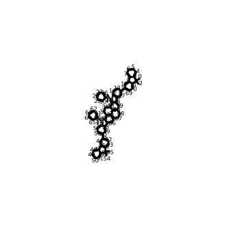 CC1(C)c2ccccc2-c2cc(-c3ccc4c(c3)c3cc5c6c(c3n4-c3ccccc3)CCc3c-6c(cc4c6cc(-c7ccc8c(c7)-c7ccccc7C8(C)C)ccc6n(-c6ccccc6)c34)CC5)ccc21